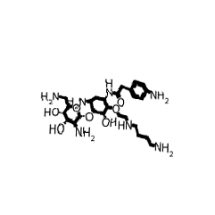 NCCCCNCCOC1[C@@H](O)[C@H](O[C@H]2OC(CN)[C@@H](O)[C@H](O)C2N)C(N)C[C@H]1NC(=O)Cc1ccc(N)cc1